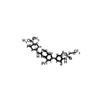 CC(C)c1cc(-c2cc(F)c(NS(=O)(=O)CCC(F)(F)F)c(F)c2)cc2cnc(N[C@H]3CC[C@H](N(C)C)C(F)C3)nc12